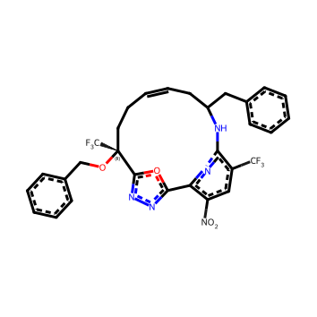 O=[N+]([O-])c1cc(C(F)(F)F)c2nc1-c1nnc(o1)[C@@](OCc1ccccc1)(C(F)(F)F)CCC=CCC(Cc1ccccc1)N2